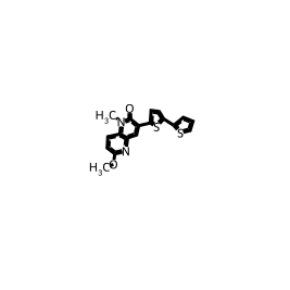 COc1ccc2c(cc(-c3ccc(-c4cccs4)s3)c(=O)n2C)n1